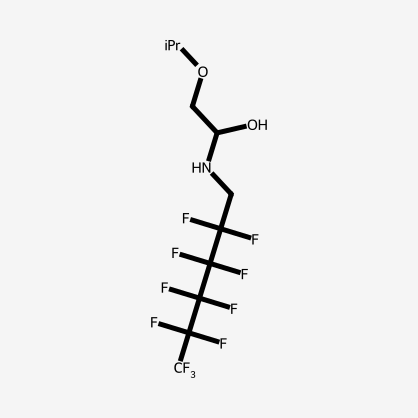 CC(C)OCC(O)NCC(F)(F)C(F)(F)C(F)(F)C(F)(F)C(F)(F)F